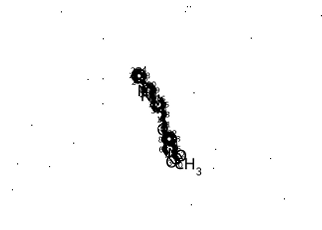 CS(=O)(=O)N1CCc2cc(OCCCC3CCN(c4ccc(-c5ccccc5)nn4)CC3)ccc2C1